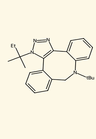 CCC(C)(C)n1nnc2c1-c1ccccc1CN(C(C)(C)C)c1ccccc1-2